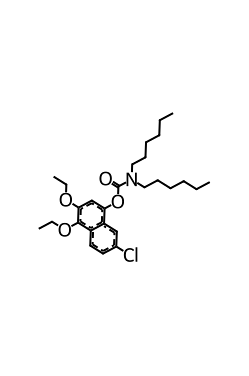 CCCCCCN(CCCCCC)C(=O)Oc1cc(OCC)c(OCC)c2ccc(Cl)cc12